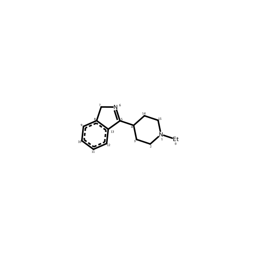 CCN1CCC(C2=NCc3ccccc32)CC1